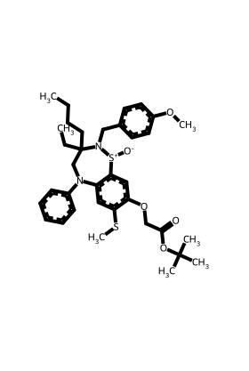 CCCCC1(CC)CN(c2ccccc2)c2cc(SC)c(OCC(=O)OC(C)(C)C)cc2[S+]([O-])N1Cc1ccc(OC)cc1